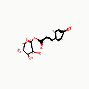 O=C(/C=C/c1ccc(O)cc1)O[C@@H]1OC[C@@H](O)C(O)C1O